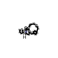 O=C1/N=C(/NC2CCCCC2)CCN2CCN1CCCCCCCCc1ccc(cc1)C2